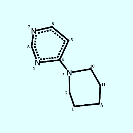 [CH]1CCN(c2ccncn2)CC1